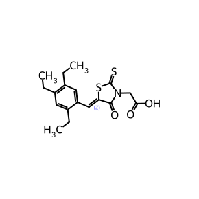 CCc1cc(CC)c(CC)cc1/C=C1\SC(=S)N(CC(=O)O)C1=O